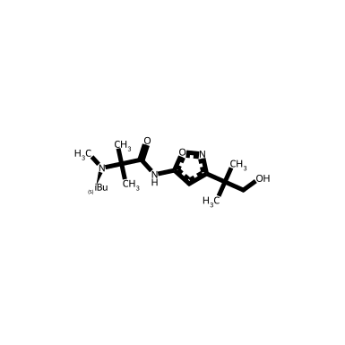 CC[C@H](C)N(C)C(C)(C)C(=O)Nc1cc(C(C)(C)CO)no1